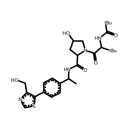 CC(NC(=O)C1CC(O)CN1C(=O)C(NC(=O)C(C)(C)C)C(C)(C)C)c1ccc(-c2scnc2CO)cc1